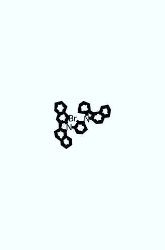 Brc1c(-n2c3ccccc3c3c4ccccc4ccc32)cccc1-n1c2cc3ccccc3cc2c2ccc3ccccc3c21